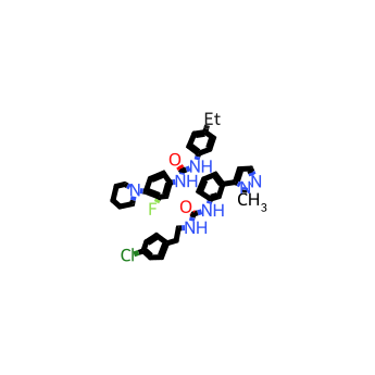 CCc1ccc(NC(=O)Nc2ccc(N3CCCCC3)c(F)c2)cc1.Cn1nccc1-c1cccc(NC(=O)NCCc2ccc(Cl)cc2)c1